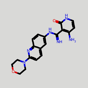 N=C(Nc1ccc2nc(N3CCOCC3)ccc2c1)c1c(N)cc[nH]c1=O